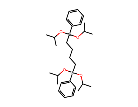 CC(C)O[Si](CCCC[Si](OC(C)C)(OC(C)C)c1ccccc1)(OC(C)C)c1ccccc1